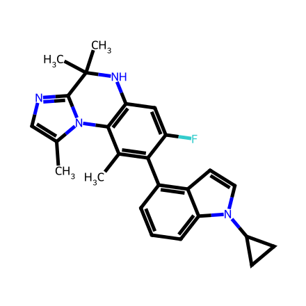 Cc1c(-c2cccc3c2ccn3C2CC2)c(F)cc2c1-n1c(C)cnc1C(C)(C)N2